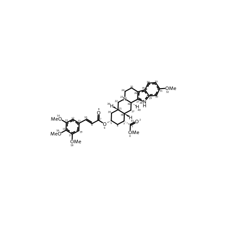 COC(=O)[C@@H]1C[C@H](OC(=O)/C=C/c2cc(OC)c(OC)c(OC)c2)C[C@@H]2CN3CCc4c([nH]c5cc(OC)ccc45)[C@H]3C[C@@H]21